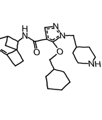 O=C(NC1C2CC=C3CCC31C2)c1cnn(CC2CCNCC2)c1OCC1CCCCC1